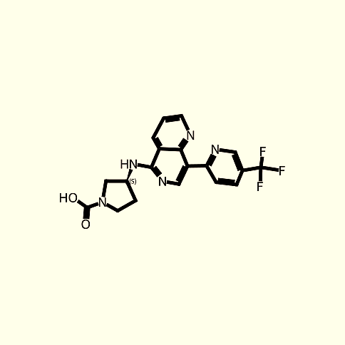 O=C(O)N1CC[C@H](Nc2ncc(-c3ccc(C(F)(F)F)cn3)c3ncccc23)C1